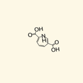 O=C(O)C1=CNC(C(=O)O)=CC=C1